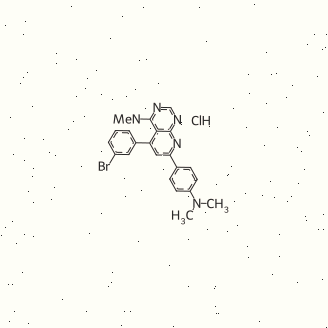 CNc1ncnc2nc(-c3ccc(N(C)C)cc3)cc(-c3cccc(Br)c3)c12.Cl